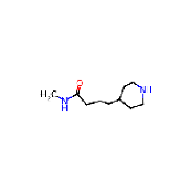 [CH2]NC(=O)CCCC1CCNCC1